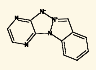 c1ccc2c(c1)c[n+]1[n-]c3nccnc3n21